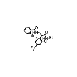 CCNC(=O)C(CNC(=O)c1ccccc1Br)c1ncc(C(F)(F)F)cc1Cl